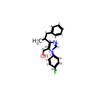 CC(Cc1ccccc1)c1ncn(-c2ccc(F)cc2)c1CO